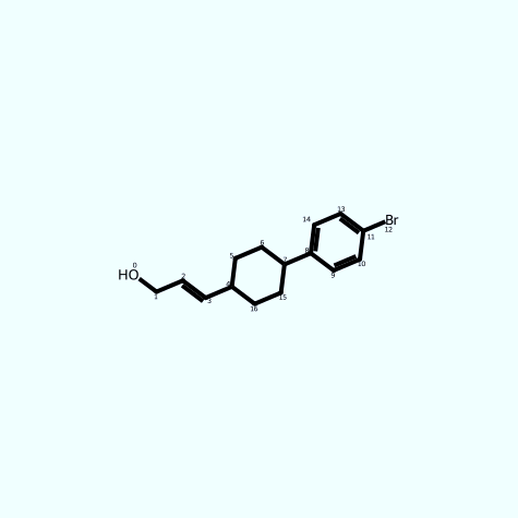 OCC=CC1CCC(c2ccc(Br)cc2)CC1